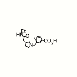 CCNC(=O)C[C@@H]1CCN(Cc2cc(C(=O)O)ccn2)C1